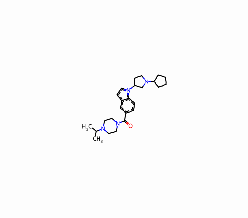 CC(C)N1CCN(C(=O)c2ccc3c(ccn3C3CCN(C4CCCC4)C3)c2)CC1